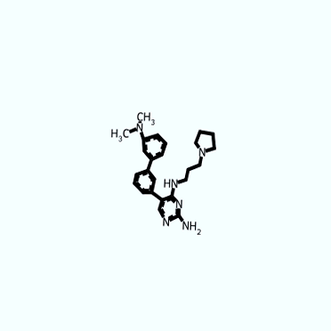 CN(C)c1cccc(-c2cccc(-c3cnc(N)nc3NCCCN3CCCC3)c2)c1